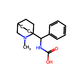 CN1CC2CCC1(C(NC(=O)O)c1ccccc1)CC2